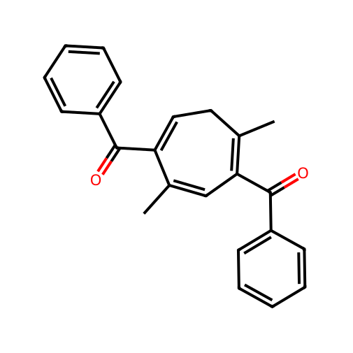 CC1=CC(C(=O)c2ccccc2)=C(C)CC=C1C(=O)c1ccccc1